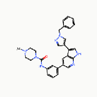 CC(=O)N1CCN(C(=O)Nc2cccc(-c3cnc4[nH]cc(-c5cnn(Cc6ccccc6)c5)c4c3)c2)CC1